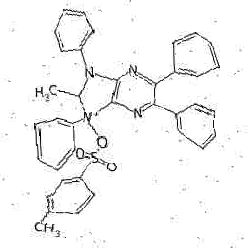 Cc1ccc(S(=O)(=O)O[N+]2(c3ccccc3)c3nc(-c4ccccc4)c(-c4ccccc4)nc3N(c3ccccc3)C2C)cc1